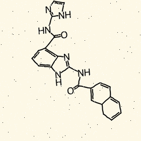 O=C(Nc1nc2c(C(=O)Nc3ncc[nH]3)cccc2[nH]1)C1=CC2CC=CC=C2C=C1